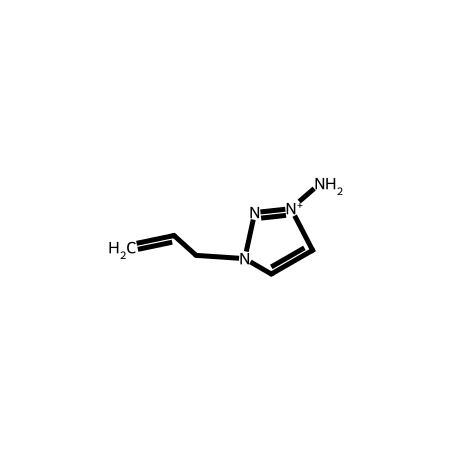 C=CCn1cc[n+](N)n1